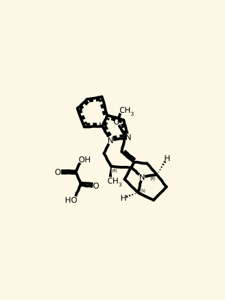 COCC=C1C[C@H]2CC[C@@H](C1)N2C[C@@H](C)Cn1ncc2ccccc21.O=C(O)C(=O)O